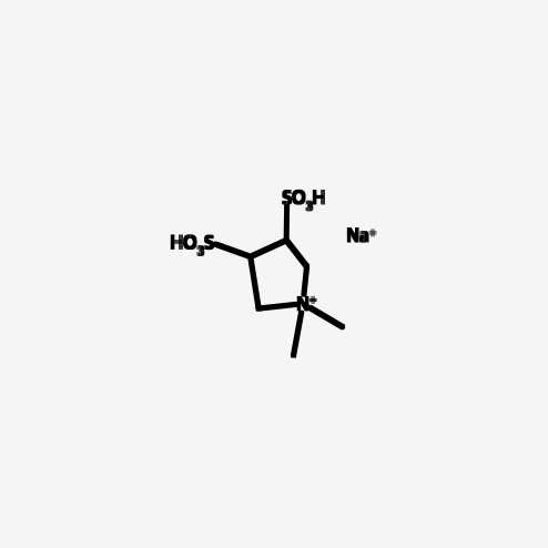 C[N+]1(C)CC(S(=O)(=O)O)C(S(=O)(=O)O)C1.[Na+]